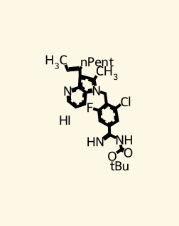 CC=C(CCCCC)c1c(C)n(Cc2c(F)cc(C(=N)NC(=O)OC(C)(C)C)cc2Cl)c2cccnc12.I